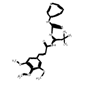 COc1cc(C=CC(=O)NC(NC(=S)Nc2cccnc2)C(C)(C)C)cc(OC)c1OC